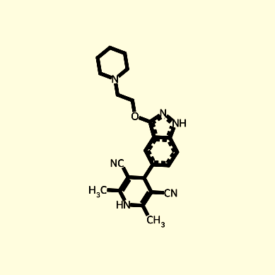 CC1=C(C#N)C(c2ccc3[nH]nc(OCCN4CCCCC4)c3c2)C(C#N)=C(C)N1